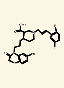 COC(=O)C1CN(CC=Cc2cc(F)ccc2F)CCC1CCCN1C(=O)COc2ccc(C#N)cc21